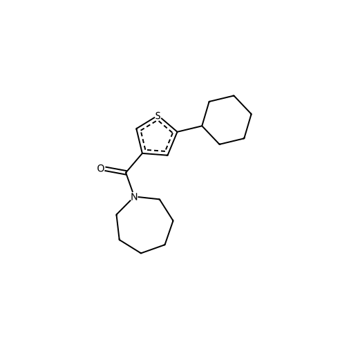 O=C(c1csc(C2CCCCC2)c1)N1CCCCCC1